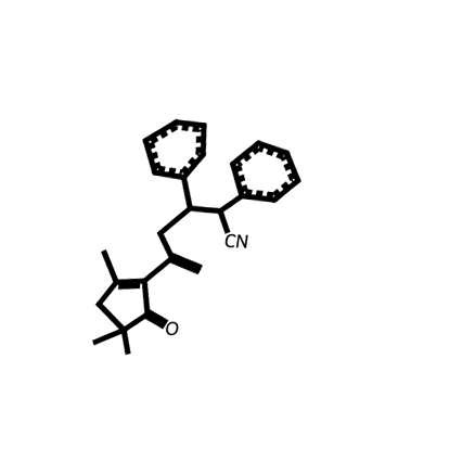 C=C(CC(c1ccccc1)C(C#N)c1ccccc1)C1=C(C)CC(C)(C)C1=O